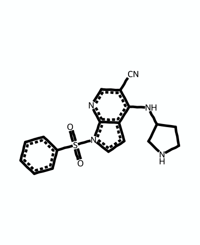 N#Cc1cnc2c(ccn2S(=O)(=O)c2ccccc2)c1NC1CCNC1